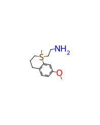 COc1ccc2c(c1)S(C)(CCN)CCC2